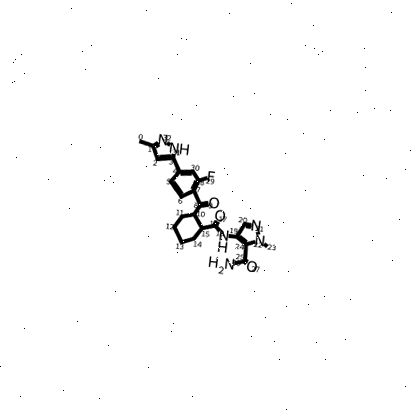 Cc1cc(-c2ccc(C(=O)C3CCCCC3C(=O)Nc3cnn(C)c3C(N)=O)c(F)c2)[nH]n1